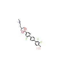 B=Cc1ccc(-c2ccc(-c3ccc(C4OCC(CC/C=C/C)CO4)cc3F)cc2)c(F)c1F